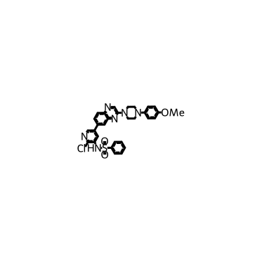 COc1ccc(N2CCN(c3cnc4ccc(-c5cnc(Cl)c(NS(=O)(=O)c6ccccc6)c5)cc4n3)CC2)cc1